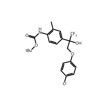 Cc1cc(C(O)(COc2ccc(Cl)cc2)C(F)(F)F)ccc1NC(=O)OC(C)(C)C